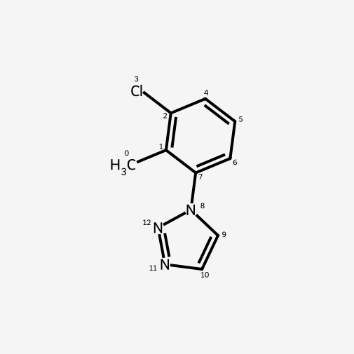 Cc1c(Cl)cccc1-n1ccnn1